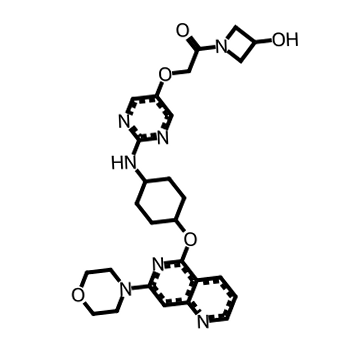 O=C(COc1cnc(NC2CCC(Oc3nc(N4CCOCC4)cc4ncccc34)CC2)nc1)N1CC(O)C1